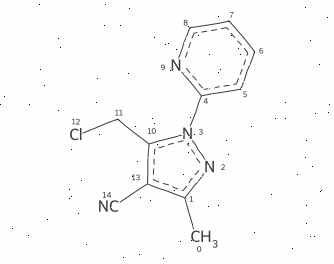 Cc1nn(-c2ccccn2)c(CCl)c1C#N